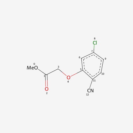 COC(=O)COc1cc(Cl)ccc1C#N